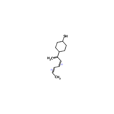 C=C(/C=C\C=C/C)C1CCC(S)CC1